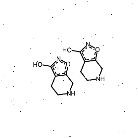 Oc1noc2c1CCNC2.Oc1noc2c1CCNC2